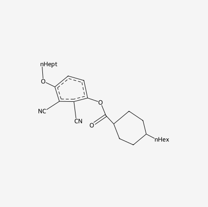 CCCCCCCOc1ccc(OC(=O)C2CCC(CCCCCC)CC2)c(C#N)c1C#N